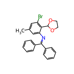 Cc1cc(Br)c(C2OCCO2)c(N=C(c2ccccc2)c2ccccc2)c1